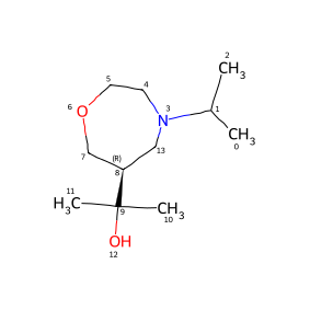 CC(C)N1CCOC[C@H](C(C)(C)O)C1